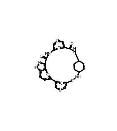 O=C1NC2CCC(CC2)NCc2cncc(c2)-c2ccc3[nH]nc(c3c2)C(=O)Nc2cncc1c2